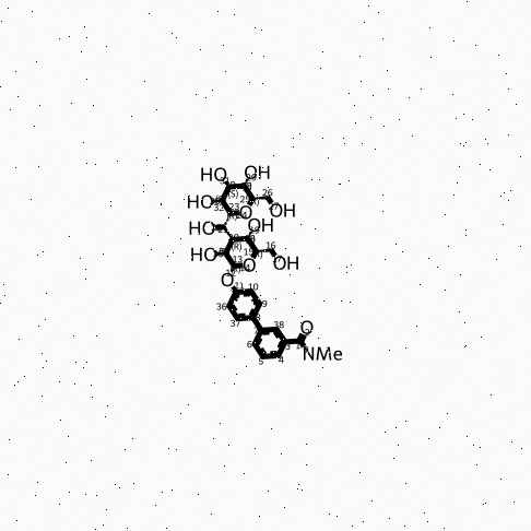 CNC(=O)c1cccc(-c2ccc(O[C@H]3O[C@H](CO)[C@@H](O)[C@H](C(O)[C@H]4O[C@H](CO)[C@@H](O)[C@H](O)[C@@H]4O)[C@@H]3O)cc2)c1